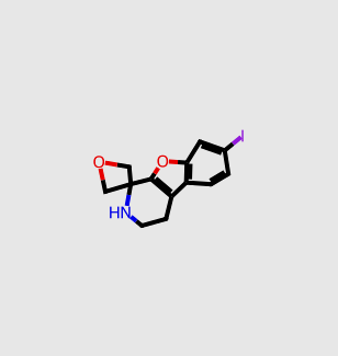 Ic1ccc2c3c(oc2c1)C1(COC1)NCC3